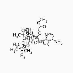 COC(=O)CO[C@@H]1[C@H](O[Si](C)(C)C(C)(C)C)[C@@H](CO[Si](C)(C)C(C)(C)C)O[C@H]1n1cnc2c(N)ncnc21